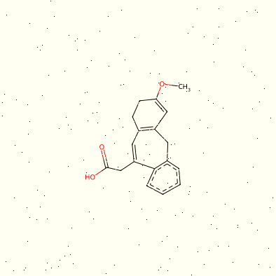 COC1=CC2=C(C=C(CC(=O)O)c3ccccc3C2)CC1